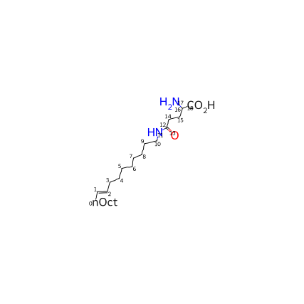 CCCCCCCCC=CCCCCCCCCNC(=O)CCC(N)C(=O)O